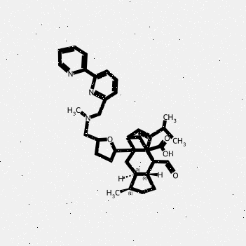 CC(C)C1=CC2CC3(C=O)[C@@H]4CC[C@@H](C)[C@H]4CC2(C2CCC(CN(C)Cc4cccc(-c5ccccn5)n4)O2)C13C(=O)O